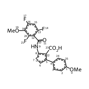 COc1ccc(-c2csc(NC(=O)c3c(F)cc(F)c(OC)c3F)c2C(=O)O)cc1